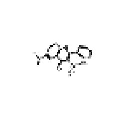 CC(C)c1ccc2oc(-c3ccccc3)c([N+](=O)[O-])c(=O)c2c1